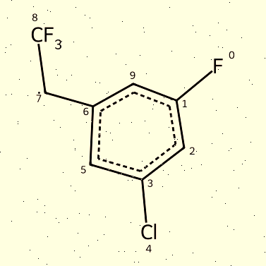 Fc1cc(Cl)cc([CH]C(F)(F)F)c1